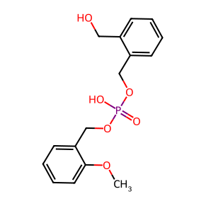 COc1ccccc1COP(=O)(O)OCc1ccccc1CO